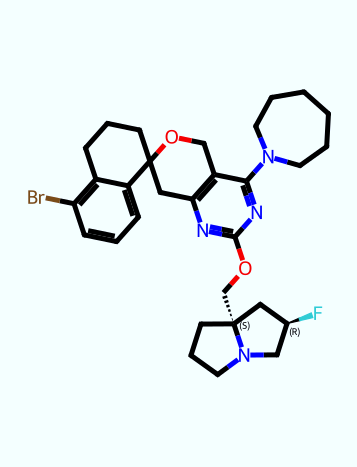 F[C@H]1CN2CCC[C@@]2(COc2nc3c(c(N4CCCCCC4)n2)COC2(CCCc4c(Br)cccc42)C3)C1